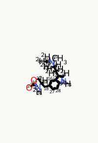 [2H]c1c(C([2H])([2H])C([2H])([2H])N(C)C([2H])([2H])[2H])c2cc(C[C@@]3([2H])COC(=O)N3[2H])ccc2n1[2H]